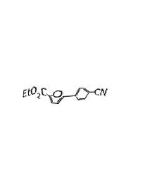 CCOC(=O)c1ccc(-c2ccc(C#N)cc2)o1